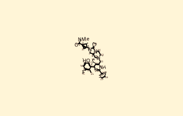 CNC(=O)C12CC(N3CC4CN(CC5=C(C(=O)O)C(c6cccc(F)c6C)N=C(c6nccs6)N5)CCN4C3=O)(C1)C2